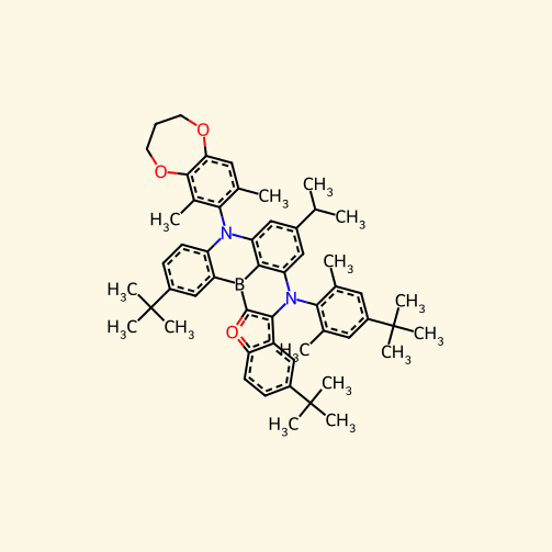 Cc1cc(C(C)(C)C)cc(C)c1N1c2cc(C(C)C)cc3c2B(c2cc(C(C)(C)C)ccc2N3c2c(C)cc3c(c2C)OCCCO3)c2oc3ccc(C(C)(C)C)cc3c21